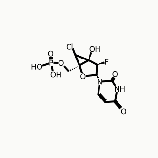 O=c1ccn([C@@H]2O[C@@]3(COP(=O)(O)O)C(Cl)[C@]3(O)[C@H]2F)c(=O)[nH]1